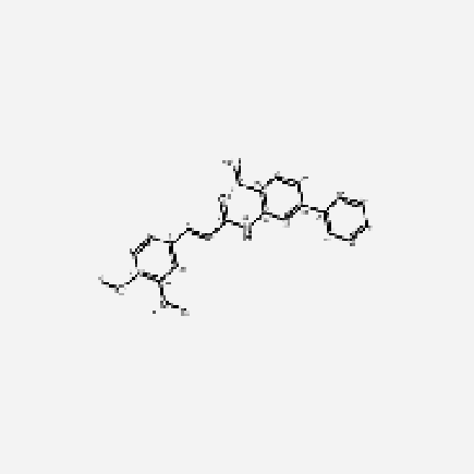 COc1ccc(/C=C/C(=O)Nc2cc(-c3ccccc3)ccc2C=O)cc1OC